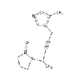 Cc1cncn1CC#CC(C)N1CCCC1=O